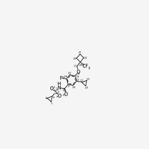 O=C(NS(=O)(=O)C1CC1)c1cc(C2CC2)c(OCC2(C(F)(F)F)CCC2)cc1F